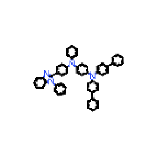 c1ccc(-c2ccc(N(c3ccc(-c4ccccc4)cc3)c3ccc(N(c4ccccc4)c4ccc(-c5nc6ccccc6n5-c5ccccc5)cc4)cc3)cc2)cc1